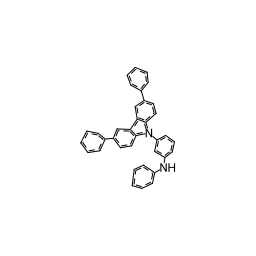 c1ccc(Nc2cccc(-n3c4ccc(-c5ccccc5)cc4c4cc(-c5ccccc5)ccc43)c2)cc1